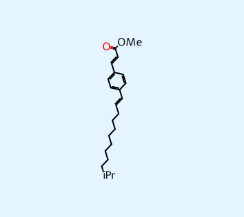 COC(=O)C=Cc1ccc(/C=C/CCCCCCCCC(C)C)cc1